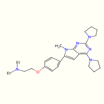 CCN(CC)CCOc1ccc(-c2cc3c(N4CCCC4)nc(N4CCCC4)nc3n2C)cc1